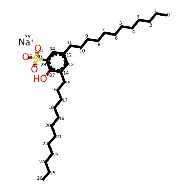 CCCCCCCCCCCCc1cc(CCCCCCCCCCCC)c(O)c(S(=O)(=O)[O-])c1.[Na+]